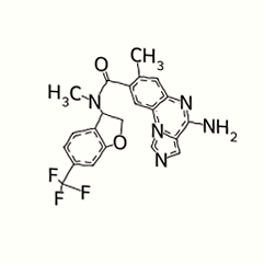 Cc1cc2nc(N)c3cncn3c2cc1C(=O)N(C)C1COc2cc(C(F)(F)F)ccc21